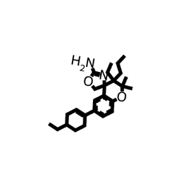 CCCC1(CC)C(C)(C)Oc2ccc(C3=CCC(CC)CC3)cc2C12COC(N)=N2